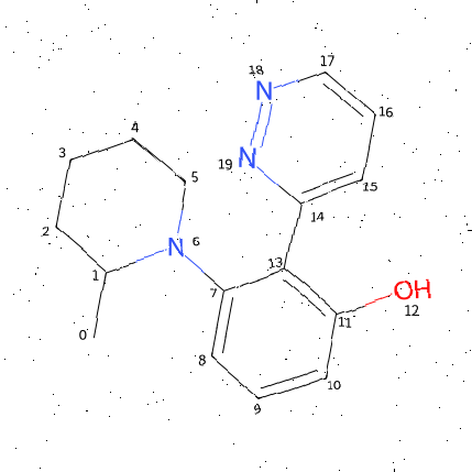 CC1CCCCN1c1cccc(O)c1-c1cccnn1